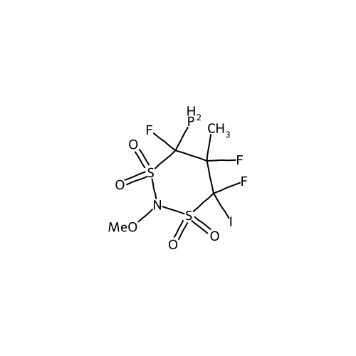 CON1S(=O)(=O)C(F)(P)C(C)(F)C(F)(I)S1(=O)=O